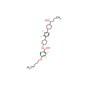 C=CCCCOc1ccc(C(O)OC2CCC(c3ccc(C4CCC(C(O)CCC)CC4)c(F)c3F)CC2)c(F)c1F